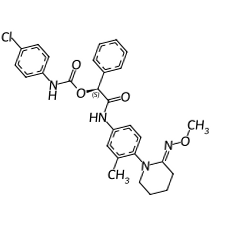 CON=C1CCCCN1c1ccc(NC(=O)[C@@H](OC(=O)Nc2ccc(Cl)cc2)c2ccccc2)cc1C